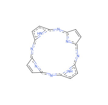 C1=Cc2nc1nc1ccc(nc3nc(nc4ccc(n2)[nH]4)C=C3)[nH]1